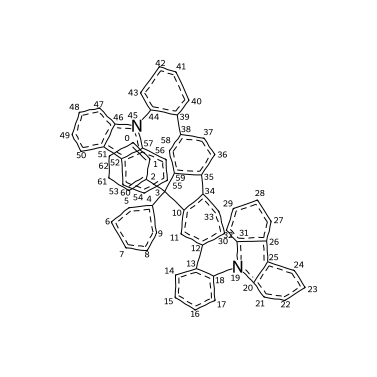 C1=CC(C2(c3ccccc3)c3cc(-c4ccccc4-n4c5ccccc5c5ccccc54)ccc3-c3ccc(-c4ccccc4-n4c5ccccc5c5ccccc54)cc32)=CCC1